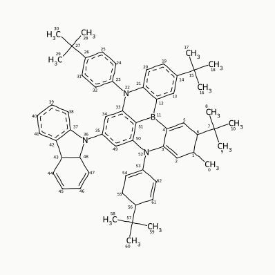 CC1C=C2C(=CC1C(C)(C)C)B1c3cc(C(C)(C)C)ccc3N(c3ccc(C(C)(C)C)cc3)c3cc(N4c5ccccc5C5C=CC=CC54)cc(c31)N2C1=CCC(C(C)(C)C)C=C1